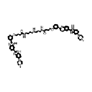 CN1CCN(c2ccc3[nH]c(-c4ccc5c(c4)CCC(c4cccc(OCCCC(=O)NCCCNCCCCNC(=O)CCCOc6cccc(-c7nc8ccc(-c9nc%10cc(N%11CCN(C)CC%11)ccc%10[nH]9)cc8[nH]7)c6)c4)=N5)nc3c2)CC1